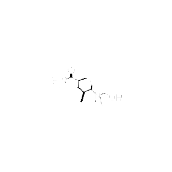 C=C(CC(=C)C(=O)NCO)C(N)=O